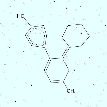 OC1=CC=C(c2ccc(O)cc2)C(=C2CCCCC2)C1